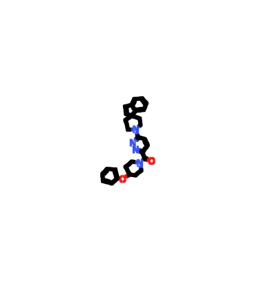 O=C(c1ccc(N2CCC3(C=Cc4ccccc43)CC2)nn1)N1CCC(Oc2ccccc2)CC1